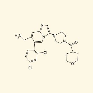 NCc1cc2ncc(N3CCN(C(=O)C4CCOCC4)CC3)n2cc1-c1ccc(Cl)cc1Cl